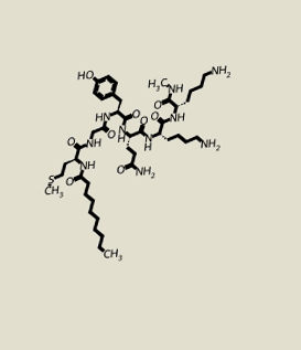 CCCCCCCCCC(=O)N[C@@H](CCSC)C(=O)NCC(=O)N[C@@H](Cc1ccc(O)cc1)C(=O)N[C@@H](CCC(N)=O)C(=O)N[C@@H](CCCCN)C(=O)N[C@@H](CCCCN)C(=O)NC